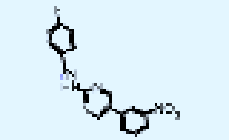 O=[N+]([O-])c1cccc(-c2cnc(N/N=C/c3ccc(F)cc3)nc2)c1